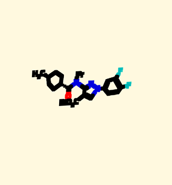 CCOC(=O)c1cn(-c2ccc(F)c(F)c2)nc1N(C(=O)[C@H]1CC[C@H](C)CC1)C(C)C